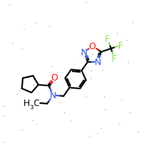 CCN(Cc1ccc(-c2noc(C(F)(F)F)n2)cc1)C(=O)C1CCCC1